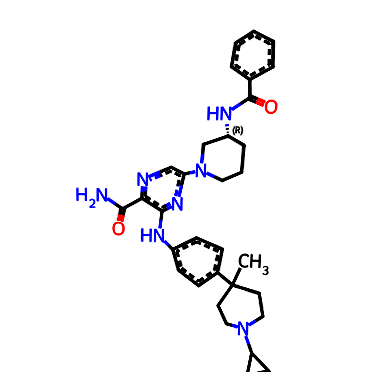 CC1(c2ccc(Nc3nc(N4CCC[C@@H](NC(=O)c5ccccc5)C4)cnc3C(N)=O)cc2)CCN(C2CC2)CC1